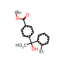 CCc1ccccc1C(O)(C(=O)O)c1ccc(C(=O)OC(C)(C)C)cc1